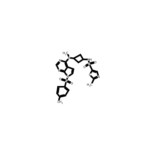 Cc1ccc(S(=O)(=O)n2ccc3c(N(C)C4CC(NS(=O)(=O)c5cnc(C)s5)C4)ncnc32)cc1